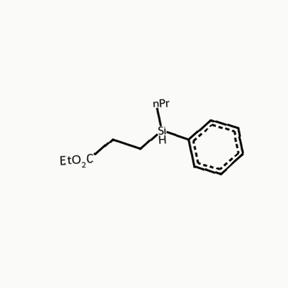 CCC[SiH](CCC(=O)OCC)c1ccccc1